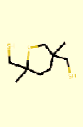 CC1(CS)CCC(C)(CS)SC1